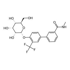 CNC(=O)c1cccc(-c2ccc(O[C@H]3O[C@H](CO)[C@@H](O)[C@@H](O)[C@H]3O)c(C(F)(F)F)c2)c1